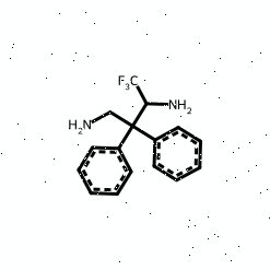 NCC(c1ccccc1)(c1ccccc1)C(N)C(F)(F)F